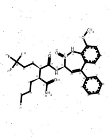 COc1cccc2c1N[N+](=O)[C@H](NC(=O)[C@H](CCC(F)(F)F)[C@H](CCCF)C(N)=O)C=C2c1ccccc1